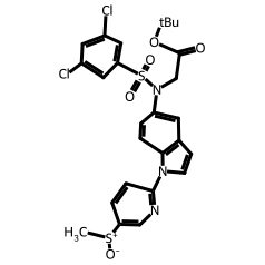 C[S+]([O-])c1ccc(-n2ccc3cc(N(CC(=O)OC(C)(C)C)S(=O)(=O)c4cc(Cl)cc(Cl)c4)ccc32)nc1